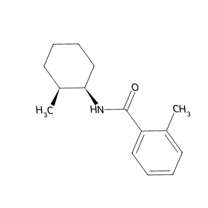 Cc1ccccc1C(=O)N[C@@H]1CCCC[C@@H]1C